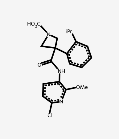 COc1nc(Cl)ccc1NC(=O)C1(c2ccccc2C(C)C)CN(C(=O)O)C1